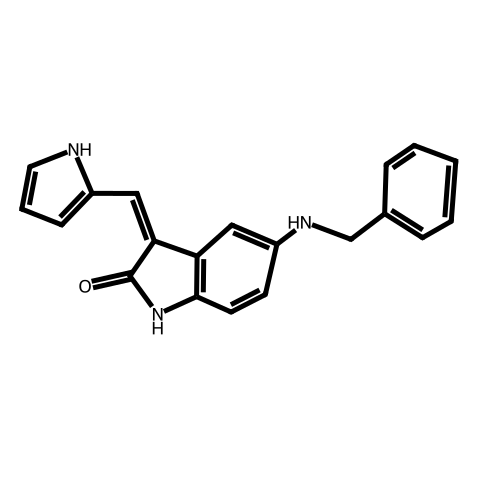 O=C1Nc2ccc(NCc3ccccc3)cc2C1=Cc1ccc[nH]1